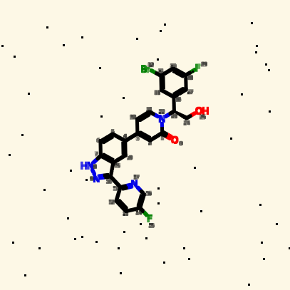 O=c1cc(-c2ccc3[nH]nc(-c4ccc(F)cn4)c3c2)ccn1[C@H](CO)c1cc(F)cc(Br)c1